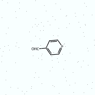 O=Cc1ccpcc1